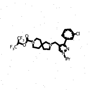 CC(C)n1cc(CN2CCC3(CCN(C(=O)OC(C(F)(F)F)C(F)(F)F)CC3)C2)c(-c2cccc(Cl)c2)n1